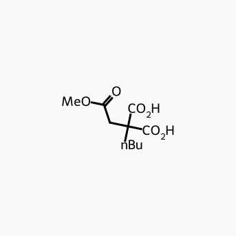 CCCCC(CC(=O)OC)(C(=O)O)C(=O)O